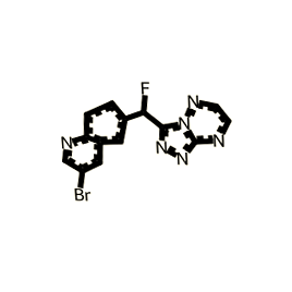 FC(c1ccc2ncc(Br)cc2c1)c1nnc2nccnn12